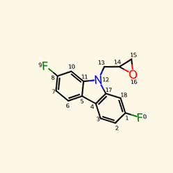 Fc1ccc2c3ccc(F)cc3n(CC3CO3)c2c1